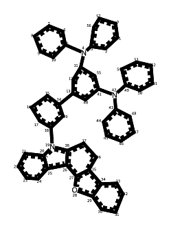 c1ccc(N(c2ccccc2)c2cc(-c3cccc(-n4c5ccccc5c5c6oc7ccccc7c6ccc54)c3)cc(N(c3ccccc3)c3ccccc3)c2)cc1